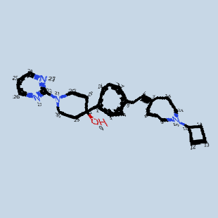 OC1(c2ccc(C=C3CCN(C4CCC4)CC3)cc2)CCN(c2ncccn2)CC1